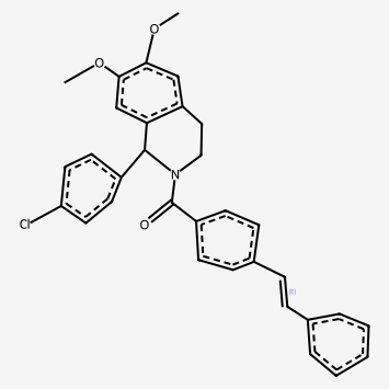 COc1cc2c(cc1OC)C(c1ccc(Cl)cc1)N(C(=O)c1ccc(/C=C/c3ccccc3)cc1)CC2